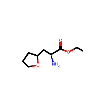 CCOC(=O)[C@@H](N)CC1CCCO1